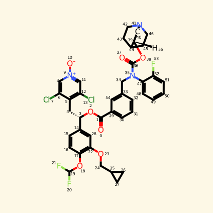 O=C(O[C@@H](Cc1c(Cl)c[n+]([O-])cc1Cl)c1ccc(OC(F)F)c(OCC2CC2)c1)c1cccc(CN(C(=O)O[C@H]2CN3CCC2CC3)c2ccccc2F)c1